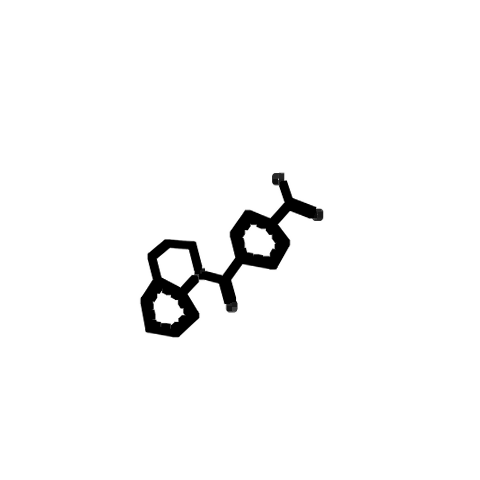 O=C(Cl)c1ccc(C(=O)N2CCCc3ccccc32)cc1